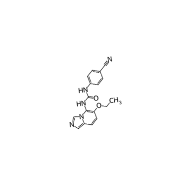 CCOc1ccc2cncn2c1NC(=O)Nc1ccc(C#N)cc1